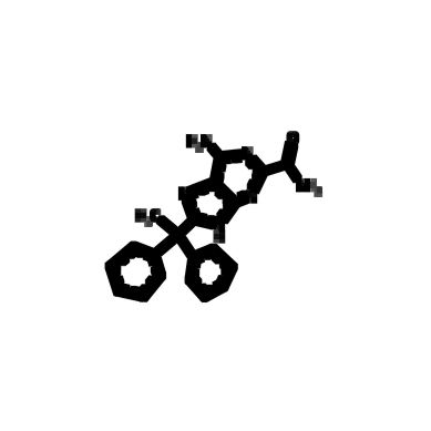 CC(c1ccccc1)(c1ccccc1)c1nc2c(N)nc(C(N)=O)nc2[nH]1